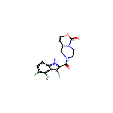 O=C(c1[nH]c2ccc(F)c(Cl)c2c1F)N1CCN2C(=O)OCCC2C1